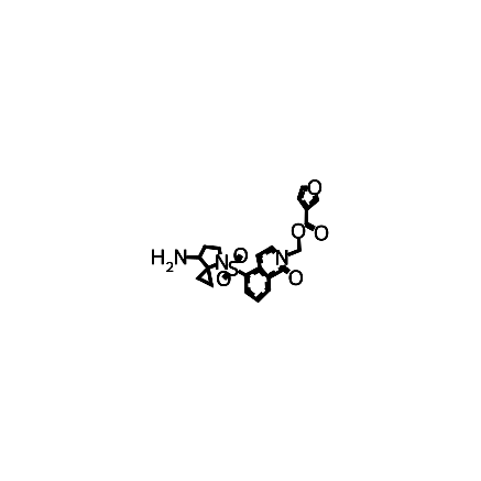 NC1CCN(S(=O)(=O)c2cccc3c(=O)n(COC(=O)c4ccoc4)ccc23)C12CC2